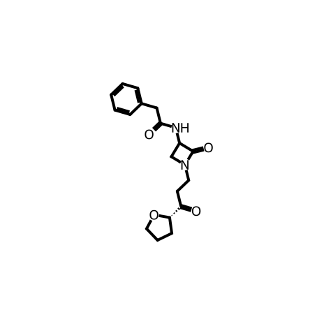 O=C(Cc1ccccc1)NC1CN(CCC(=O)[C@@H]2CCCO2)C1=O